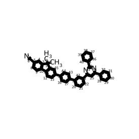 CC1(C)c2cc(C#N)ccc2-c2ccc(-c3ccc(-c4cccc(-c5cc(-c6ccccc6)nc(-c6ccccc6)n5)c4)cc3)cc21